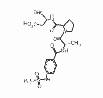 C[C@H](NC(=O)c1ccc(NS(C)(=O)=O)cc1)C(=O)N1CCCC1C(=O)N[C@H](C=O)CC(=O)O